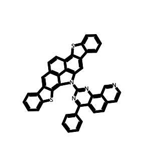 c1ccc(-c2nc(-n3c4cc5c6ccccc6sc5c5ccc6cc7c8ccccc8sc7c3c6c54)nc3c2ccc2ccncc23)cc1